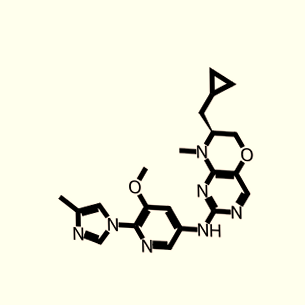 COc1cc(Nc2ncc3c(n2)N(C)[C@@H](CC2CC2)CO3)cnc1-n1cnc(C)c1